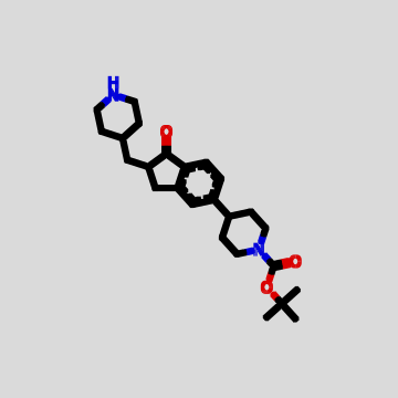 CC(C)(C)OC(=O)N1CCC(c2ccc3c(c2)CC(CC2CCNCC2)C3=O)CC1